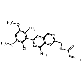 C=CC(=O)NCc1cc2c(N)nc(-c3c(C)c(OC)cc(OC)c3Cl)cc2cn1